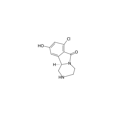 O=C1c2c(Cl)cc(O)cc2[C@@H]2CNCCN12